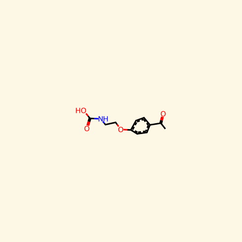 CC(=O)c1ccc(OCCNC(=O)O)cc1